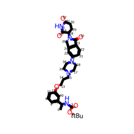 CC(NC(=O)OC(C)(C)C)c1cccc(OCCCN2CCN(c3ccc4c(c3)CN(C3CCC(=O)NC3=O)C4=O)CC2)c1